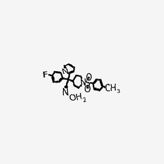 Cc1ccc(S(=O)(=O)N2CCC(C(C#N)(c3ccc(F)cc3)c3ccccn3)CC2)cc1.O